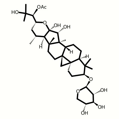 CC(=O)O[C@@H]([C@H]1C[C@@H](C)[C@H]2[C@@](O)(O1)[C@H](O)[C@@]1(C)[C@@H]3CC[C@H]4C(C)(C)[C@@H](O[C@@H]5OC[C@@H](O)[C@H](O)[C@H]5O)CC[C@@]45C[C@@]35CC[C@]21C)C(C)(C)O